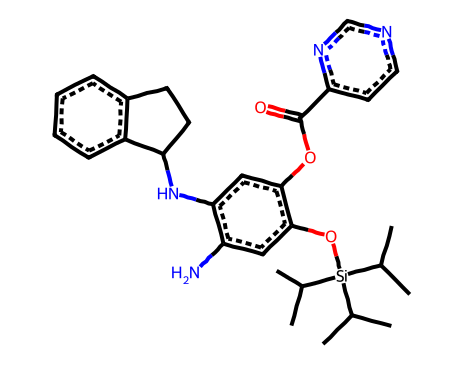 CC(C)[Si](Oc1cc(N)c(NC2CCc3ccccc32)cc1OC(=O)c1ccncn1)(C(C)C)C(C)C